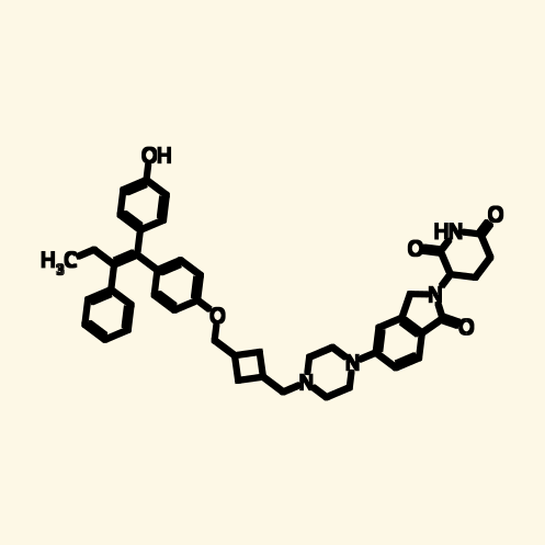 CC/C(=C(\c1ccc(O)cc1)c1ccc(OCC2CC(CN3CCN(c4ccc5c(c4)CN(C4CCC(=O)NC4=O)C5=O)CC3)C2)cc1)c1ccccc1